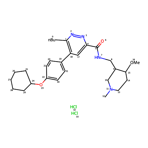 CCCCc1nnc(C(=O)NCC2CN(C)CCC2OC)cc1-c1ccc(OC2CCCCC2)cc1.Cl.Cl